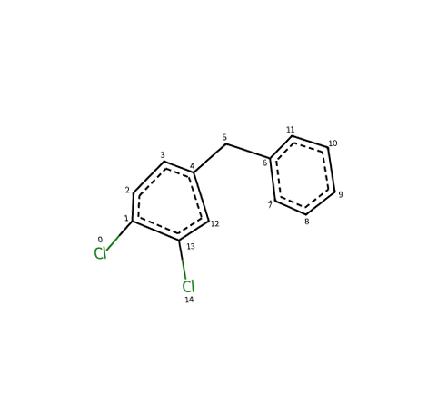 Clc1ccc(Cc2[c]cccc2)cc1Cl